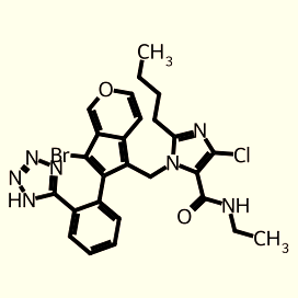 CCCCc1nc(Cl)c(C(=O)NCC)n1Cc1c2ccocc-2c(Br)c1-c1ccccc1-c1nnn[nH]1